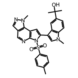 Cc1ccc(S(=O)(=O)n2c(-c3cn(C)c4ccc(C(C)(C)O)cc34)cc3c4c(cnc32)cnn4C)cc1